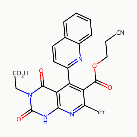 CC(C)c1nc2[nH]c(=O)n(CC(=O)O)c(=O)c2c(-c2ccc3ccccc3n2)c1C(=O)OCCC#N